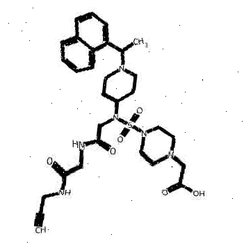 C#CCNC(=O)CNC(=O)CN(C1CCN(C(C)c2cccc3ccccc23)CC1)S(=O)(=O)N1CCN(CC(=O)O)CC1